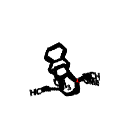 C#Cc1ccc(C#C)c2c1C1C(C)=C(C(=O)OC)C2c2ccccc21